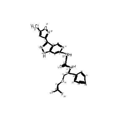 Cc1cc(-c2n[nH]c3cc(NC(=O)N[C@H](COCC(F)F)c4ccccc4)ncc23)no1